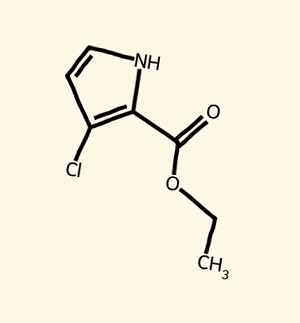 CCOC(=O)c1[nH]ccc1Cl